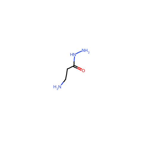 NCCC(=O)NN